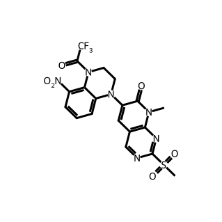 Cn1c(=O)c(N2CCN(C(=O)C(F)(F)F)c3c2cccc3[N+](=O)[O-])cc2cnc(S(C)(=O)=O)nc21